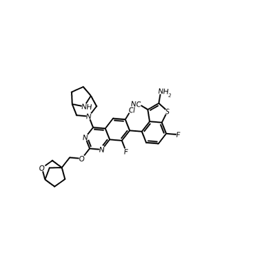 N#Cc1c(N)sc2c(F)ccc(-c3c(Cl)cc4c(N5CC6CCC(C5)N6)nc(OCC56CCC(C5)OC6)nc4c3F)c12